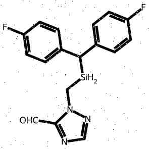 O=Cc1ncnn1C[SiH2]C(c1ccc(F)cc1)c1ccc(F)cc1